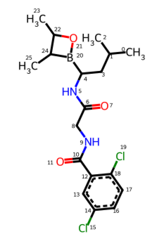 CC(C)CC(NC(=O)CNC(=O)c1cc(Cl)ccc1Cl)B1OC(C)C1C